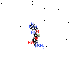 CCc1c(C(=O)Nc2ccc(Oc3ccc(O)c(-c4ccnc(N)n4)c3)c(F)c2)cnn1-c1cncnc1